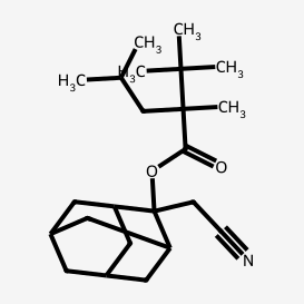 CC(C)CC(C)(C(=O)OC1(CC#N)C2CC3CC(C2)CC1C3)C(C)(C)C